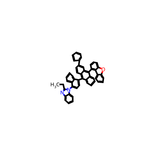 CCc1nc2ccccc2n1-c1ccc(-c2c3ccccc3c(-c3cccc4oc5ccccc5c34)c3cc(-c4ccccc4)ccc23)c2ccccc12